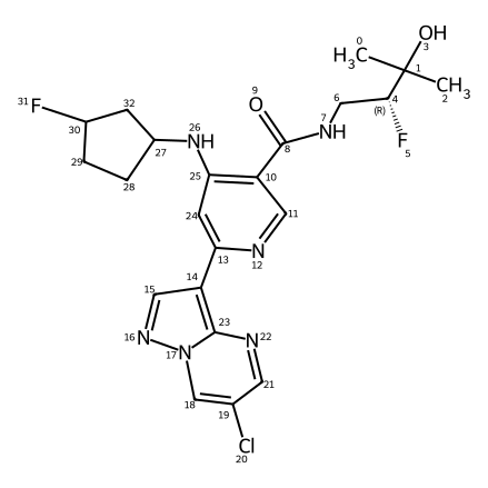 CC(C)(O)[C@H](F)CNC(=O)c1cnc(-c2cnn3cc(Cl)cnc23)cc1NC1CCC(F)C1